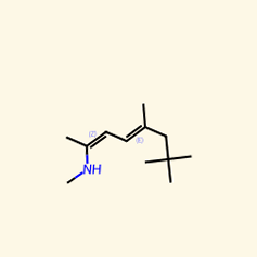 CN/C(C)=C\C=C(/C)CC(C)(C)C